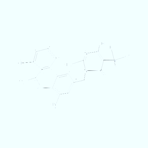 CCCCc1nc(C)c(C(F)(F)C(F)(F)F)c(=O)n1Cc1ccc(OC(C(=O)O)c2ccccc2Cl)c(CCC)c1